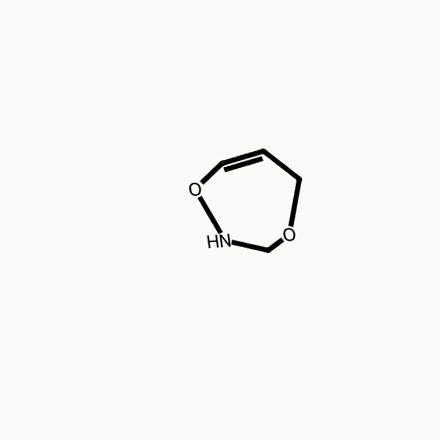 C1=CONCOC1